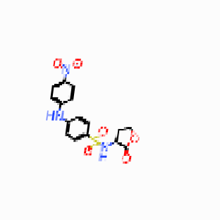 O=C1OCC[C@@H]1NS(=O)(=O)c1ccc(Nc2ccc([N+](=O)[O-])cc2)cc1